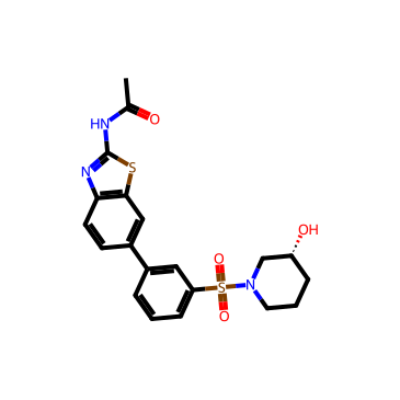 CC(=O)Nc1nc2ccc(-c3cccc(S(=O)(=O)N4CCC[C@@H](O)C4)c3)cc2s1